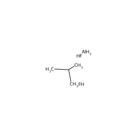 CC(C)C.F.F.[AlH3]